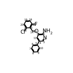 Nc1ncc(-c2ccccc2)cc1OCc1c(F)cccc1Cl